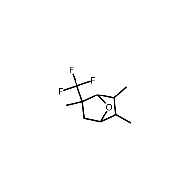 CC1C2CC(C)(C(F)(F)F)C(O2)C1C